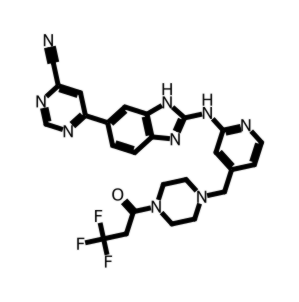 N#Cc1cc(-c2ccc3nc(Nc4cc(CN5CCN(C(=O)CC(F)(F)F)CC5)ccn4)[nH]c3c2)ncn1